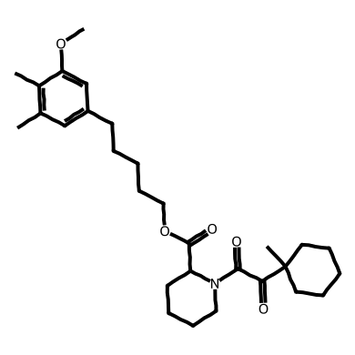 COc1cc(CCCCCOC(=O)C2CCCCN2C(=O)C(=O)C2(C)CCCCC2)cc(C)c1C